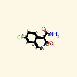 NC(=O)C1=c2c[c]c(Cl)cc2=C[N]C1=O